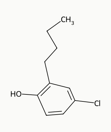 CCCCc1cc(Cl)ccc1O